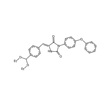 CCOC(OCC)c1ccc(/C=C2\NC(=O)N(c3ccc(Oc4ccccc4)cc3)C2=O)cc1